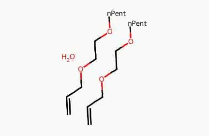 C=CCOCCOCCCCC.C=CCOCCOCCCCC.O